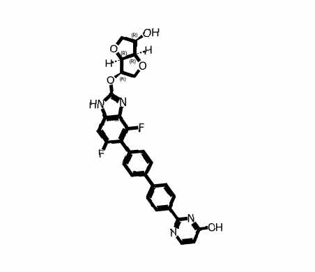 Oc1ccnc(-c2ccc(-c3ccc(-c4c(F)cc5[nH]c(O[C@@H]6CO[C@H]7[C@@H]6OC[C@H]7O)nc5c4F)cc3)cc2)n1